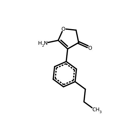 CCCc1cccc(C2=C(N)OCC2=O)c1